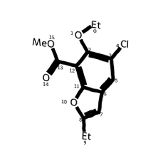 CCOc1c(Cl)cc2cc(CC)oc2c1C(=O)OC